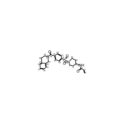 C=CC(=O)NC1CCN(S(=O)(=O)c2ccc(C(=O)N3CCc4ccccc4C3)cc2)CC1